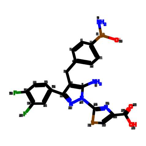 Nc1c(Cc2ccc([S+](N)[O-])cc2)c(-c2ccc(F)c(F)c2)nn1-c1nc(C(=O)O)cs1